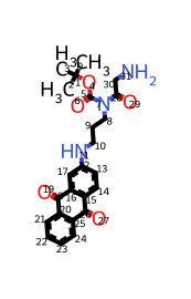 CC(C)(C)OC(=O)N(CCCNc1ccc2c(c1)C(=O)c1ccccc1C2=O)C(=O)CN